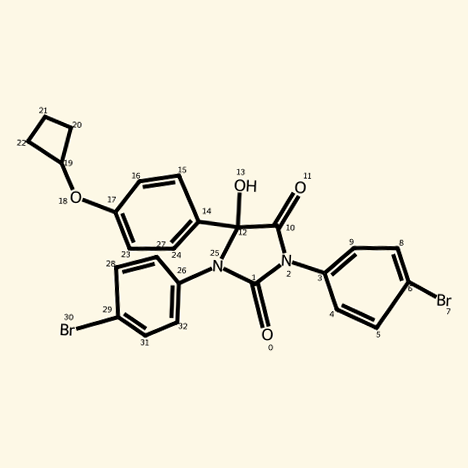 O=C1N(c2ccc(Br)cc2)C(=O)C(O)(c2ccc(OC3CCC3)cc2)N1c1ccc(Br)cc1